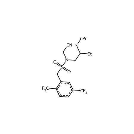 CCCSC(CC)CN(CC#N)S(=O)(=O)Cc1cc(C(F)(F)F)ccc1C(F)(F)F